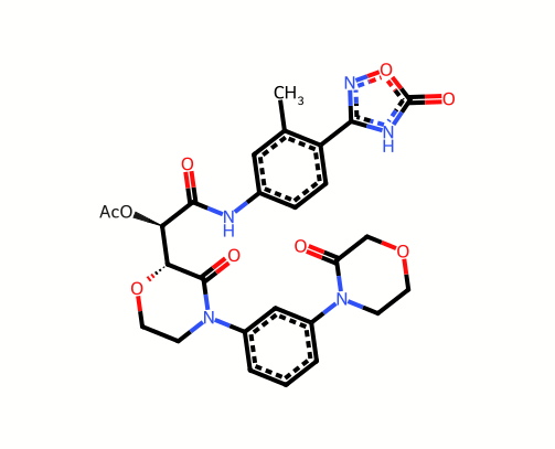 CC(=O)O[C@@H](C(=O)Nc1ccc(-c2noc(=O)[nH]2)c(C)c1)[C@H]1OCCN(c2cccc(N3CCOCC3=O)c2)C1=O